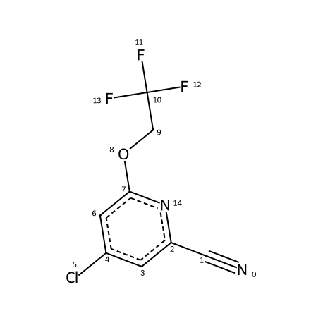 N#Cc1cc(Cl)cc(OCC(F)(F)F)n1